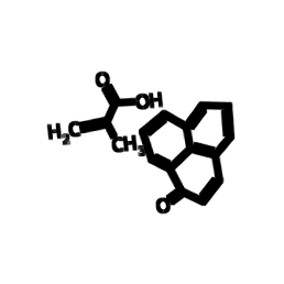 C=C(C)C(=O)O.O=C1C=Cc2cccc3cccc1c23